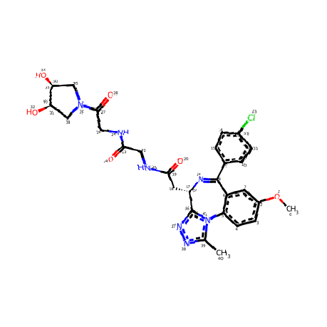 COc1ccc2c(c1)C(c1ccc(Cl)cc1)=N[C@@H](CC(=O)NCC(=O)NCC(=O)N1C[C@@H](O)[C@@H](O)C1)c1nnc(C)n1-2